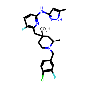 Cc1cc(Nc2ccc(F)c(C[C@@]3(C(=O)O)CCN(Cc4ccc(Cl)c(F)c4)[C@H](C)C3)n2)n[nH]1